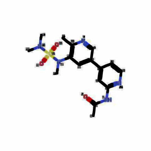 CC(=O)Nc1cc(-c2cnc(C)c(N(C)S(=O)(=O)N(C)C)c2)ccn1